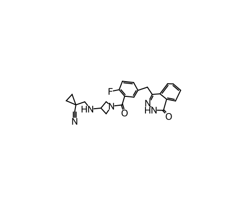 N#CC1(CNC2CN(C(=O)c3cc(Cc4n[nH]c(=O)c5ccccc45)ccc3F)C2)CC1